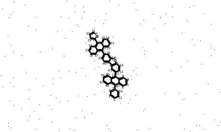 c1ccc(-c2c3ccccc3c(-c3ccc4sc5cc(-c6c7ccccc7c(-c7cccs7)c7ccccc67)ccc5c4c3)c3ccccc23)cc1